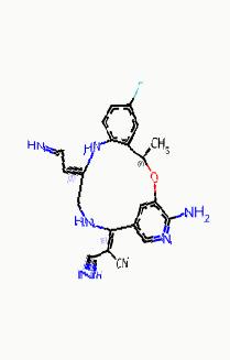 C[C@H]1Oc2cc(cnc2N)/C(=C(\C#N)C=N)NC/C(=C/C=N)Nc2ccc(F)cc21